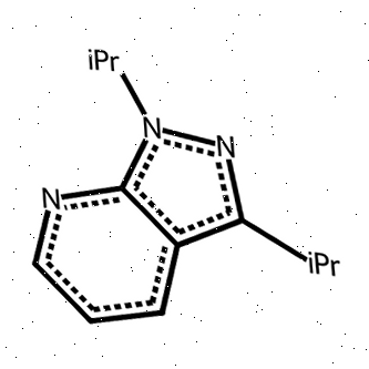 CC(C)c1nn(C(C)C)c2ncccc12